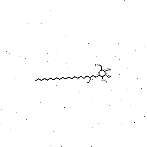 CCCCCCCCCCCCCCCCOCC(CO[C@H]1OC(CO)[C@@H](O)[C@H](O)C1N)OC